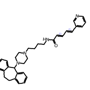 O=C(/C=C/C=C/c1cccnc1)NCCCCN1CCN(C2c3ccccc3CCc3ccccc32)CC1